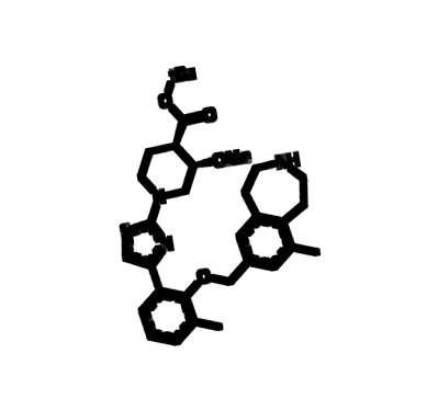 CO[C@H]1CN(c2nc(-c3cccc(C)c3OCc3cc(C)c4c(c3)CCNCC4)cs2)CC[C@H]1C(=O)OC(C)(C)C